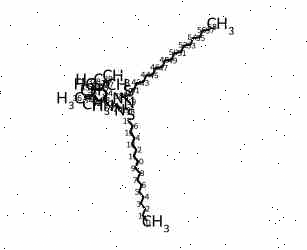 CCCCCCCCCCCCCCCCCCSc1nc(Nc2cc(C(C)(C)C)c(O)c(C(C)(C)C)c2)nc(SCCCCCCCCCCCCCCCCCC)n1